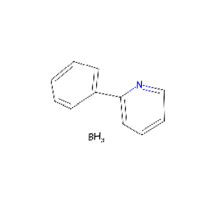 B.c1ccc(-c2ccccn2)cc1